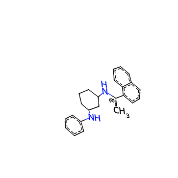 C[C@@H](NC1CCCC(Nc2ccccc2)C1)c1cccc2ccccc12